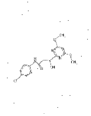 COc1cc(OC)nc(C(O)CC(=O)Nc2ccc(Cl)cc2)n1